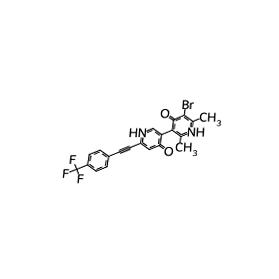 Cc1[nH]c(C)c(-c2c[nH]c(C#Cc3ccc(C(F)(F)F)cc3)cc2=O)c(=O)c1Br